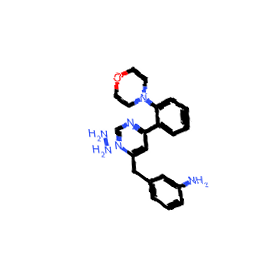 NN.Nc1cccc(Cc2cc(-c3ccccc3N3CCOCC3)ncn2)c1